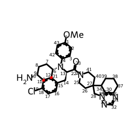 COc1ccc(N([C@H]2CC[C@@H](N)CC2)[C@H](Cc2ccc(Cl)cc2)C(=O)N2CCC(Cn3cncn3)(C3CCCCC3)CC2)cc1